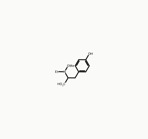 CCN(OC)C(Cc1ccc(O)cc1)C(=O)O